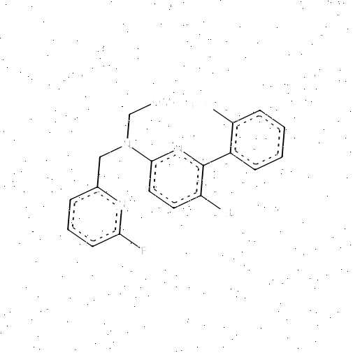 COCN(Cc1cccc(F)n1)c1ccc(C(F)(F)F)c(-c2ccccc2C)n1